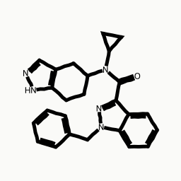 O=C(c1nn(Cc2ccccc2)c2ccccc12)N(C1CC1)C1CCc2[nH]ncc2C1